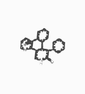 N#Cc1ccccc1-c1c(-c2ccccn2)c[nH]c(=O)c1-c1ccccc1